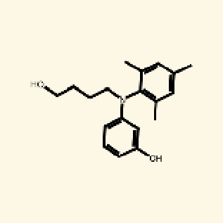 Cc1cc(C)c(N(CCCCO)c2cccc(O)c2)c(C)c1